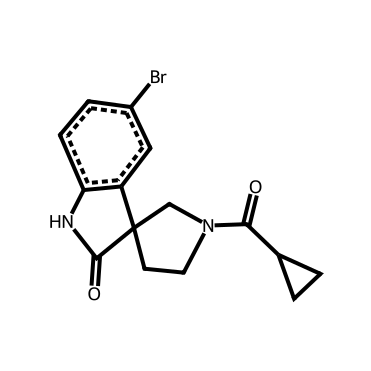 O=C(C1CC1)N1CCC2(C1)C(=O)Nc1ccc(Br)cc12